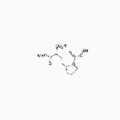 COC(=O)[C@H](CCC1CCCN1C(=O)OC(C)(C)C)C(=O)O